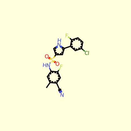 Cc1cc(NS(=O)(=O)c2c[nH]c(-c3cc(Cl)ccc3F)c2)c(F)cc1C#N